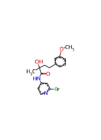 COc1cccc(CCC(C)(O)C(=O)Nc2ccnc(Br)c2)c1